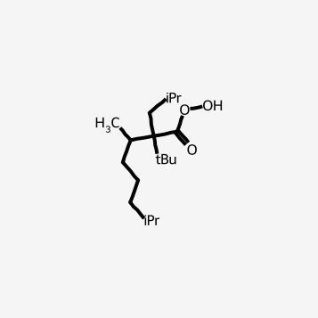 CC(C)CCCC(C)C(CC(C)C)(C(=O)OO)C(C)(C)C